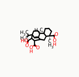 CC(C)C12C=C3C(CC4[C@](C)(CCC[C@@]4(C)C(=O)O)C3CC1)C(C(=O)O)C2C(=O)O